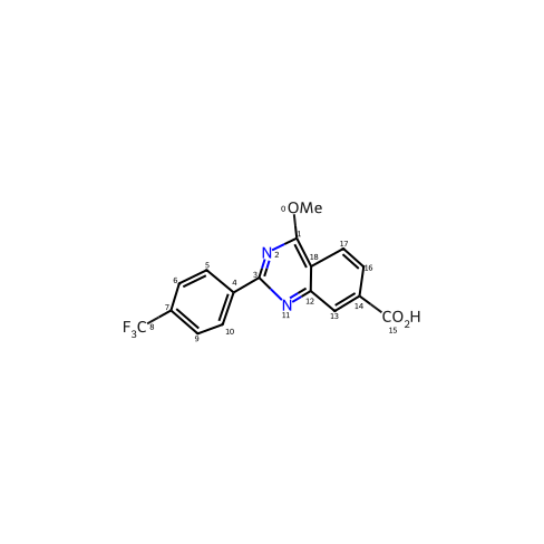 COc1nc(-c2ccc(C(F)(F)F)cc2)nc2cc(C(=O)O)ccc12